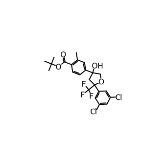 Cc1cc(C2(O)COC(c3cc(Cl)cc(Cl)c3)(C(F)(F)F)C2)ccc1C(=O)OC(C)(C)C